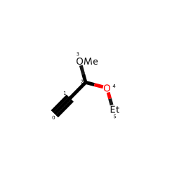 C#CC(OC)OCC